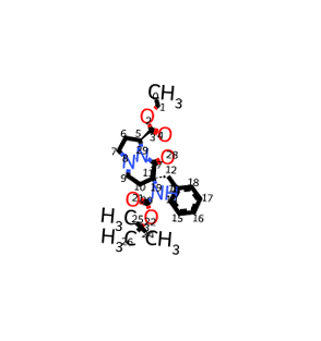 CCOC(=O)[C@@H]1CCN2CC[C@](Cc3ccccc3)(NC(=O)OC(C)(C)C)C(=O)N12